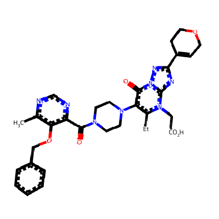 CCc1c(N2CCN(C(=O)c3ncnc(C)c3OCc3ccccc3)CC2)c(=O)n2nc(C3=CCOCC3)nc2n1CC(=O)O